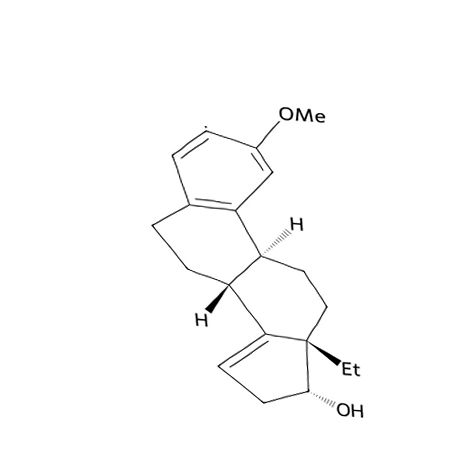 CC[C@]12CC[C@@H]3c4cc(OC)[c]cc4CC[C@H]3C1=CC[C@H]2O